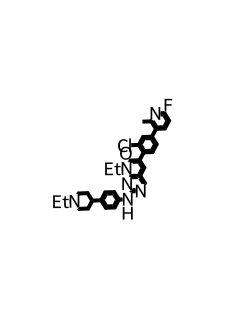 CCN1CCC(c2ccc(Nc3ncc4cc(-c5ccc(-c6ccc(F)nc6C)cc5Cl)c(=O)n(CC)c4n3)cc2)CC1